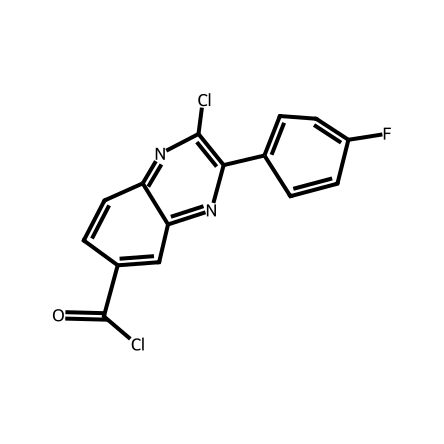 O=C(Cl)c1ccc2nc(Cl)c(-c3ccc(F)cc3)nc2c1